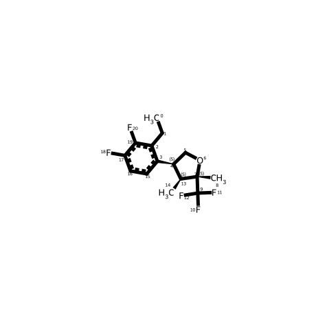 CCc1c([C@H]2CO[C@](C)(C(F)(F)F)[C@H]2C)ccc(F)c1F